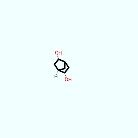 O[C@H]1C[C@H]2CC1C[C@@H]2O